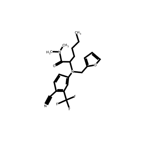 CCCCC(C(=O)N(C)C)N(Cc1ccco1)c1ccc(C#N)c(C(F)(F)F)c1